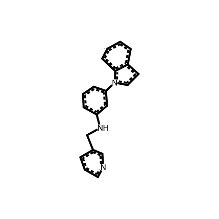 [c]1ccc2ccn(-c3cccc(NCc4cccnc4)c3)c2c1